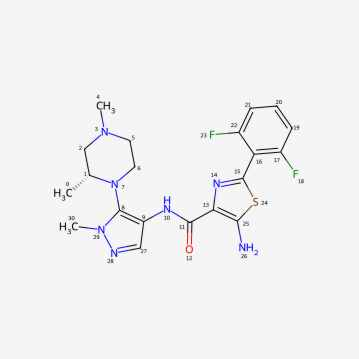 C[C@@H]1CN(C)CCN1c1c(NC(=O)c2nc(-c3c(F)cccc3F)sc2N)cnn1C